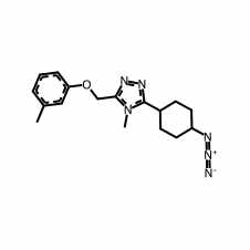 Cc1cccc(OCc2nnc(C3CCC(N=[N+]=[N-])CC3)n2C)c1